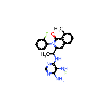 Cc1cccc2cc(C(C)Nc3ncnc(N)c3NF)n(-c3ccccc3F)c(=O)c12